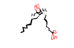 CCCCCC=CC[C@@H]1[C@@H](CCCCCCC(=O)O)[C@H]2C[C@H]1OO2